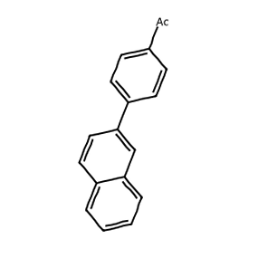 CC(=O)c1ccc(-c2ccc3ccccc3c2)cc1